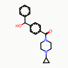 O=C(c1ccc(C(O)c2ccccc2)cc1)N1CCN(C2CC2)CC1